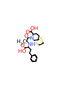 C[C@H](NC(CCc1ccccc1)C(=O)O)C(=O)N1CC2(CCC1C(=O)O)SCCS2